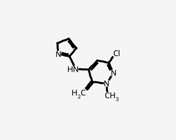 C=C1C(NC2=NCC=C2)=CC(Cl)=NN1C